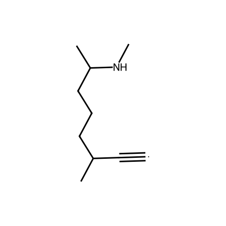 [C]#CC(C)CCCC(C)NC